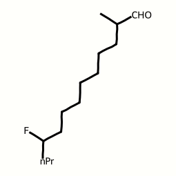 CCCC(F)CCCCCCCC(C)C=O